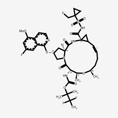 COc1cc(F)cc2c(O[C@@H]3C[C@H]4C(=O)N[C@]5(C(=O)NS(=O)(=O)C6(CF)CC6)CC5/C=C\CC[C@@H](C)O[C@@H](C)[C@H](NC(=O)OC(C)(C)C(C)(F)F)C(=O)N4C3)nccc12